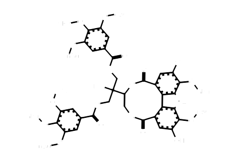 CCCCOc1cc(C(=O)OCC(O)(COC(=O)c2cc(OCCCC)c(OCCCC)c(OCCCC)c2)C2COC(=O)c3cc(O)c(OCCCC)c(O)c3-c3c(cc(O)c(OCCCC)c3O)C(=O)O2)cc(OCCCC)c1OCCCC